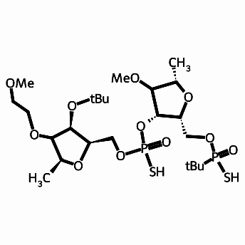 COCCOC1[C@H](C)O[C@H](COP(=O)(S)O[C@@H]2C(OC)[C@H](C)O[C@@H]2COP(=O)(S)C(C)(C)C)[C@@H]1OC(C)(C)C